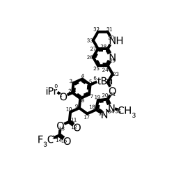 CC(C)Oc1ccc(C(C)(C)C)cc1C(CC(=O)OC(=O)C(F)(F)F)Cc1cc(OCCc2ccc3c(n2)NCCC3)n(C)n1